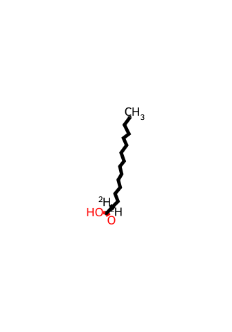 [2H]C([2H])(CCCCCCCCCCCCCC)C(=O)O